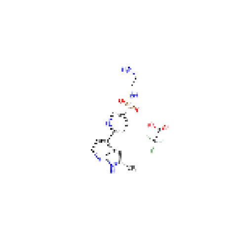 NCCNS(=O)(=O)c1ccc(-c2ccnc3[nH]c(C(F)(F)F)cc23)nc1.O=C(O)C(F)(F)F